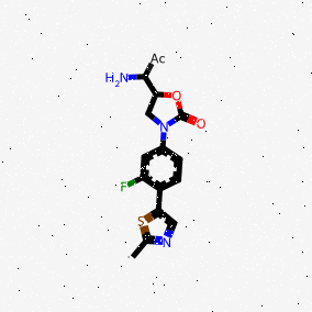 [CH2]c1ncc(-c2ccc(N3CC(C(N)C(C)=O)OC3=O)cc2F)s1